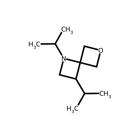 CC(C)C1CN(C(C)C)C12COC2